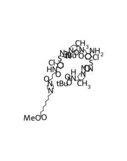 COC(=O)CCCCCCCCN1CCN(C(=O)CCC(=O)Nc2cccc(Sc3cnc(N4CCC(C)(CN(Cc5ccc(Sc6cnc(N7CCC(C)(CNC(=O)OC(C)(C)C)CC7)cn6)c(Cl)c5N)C(=O)OC(C)(C)C)CC4)cn3)c2Cl)CC1